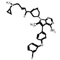 Cc1c(-c2ccc(Oc3cccc(F)c3)cc2)c2c(N)ncnc2n1[C@@H]1CCCC(C(=O)/C=C/CN(C)C2CC2)C1